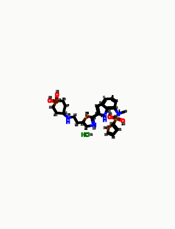 CN(c1cccc2cc(C3=NCC(CCNC4CCS(=O)(=O)CC4)S3)[nH]c12)S(=O)(=O)c1cccs1.Cl